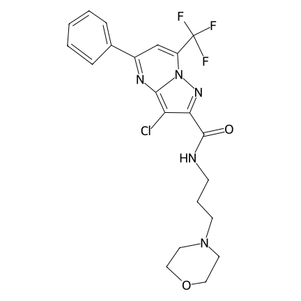 O=C(NCCCN1CCOCC1)c1nn2c(C(F)(F)F)cc(-c3ccccc3)nc2c1Cl